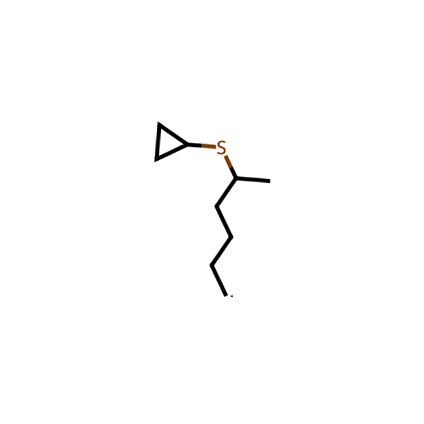 [CH2]CCCC(C)SC1CC1